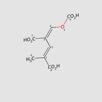 CC(=CC(=COC(=O)O)C(=O)O)C(=O)O